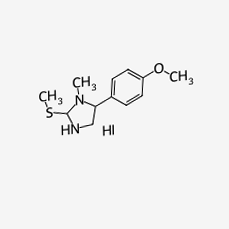 COc1ccc(C2CNC(SC)N2C)cc1.I